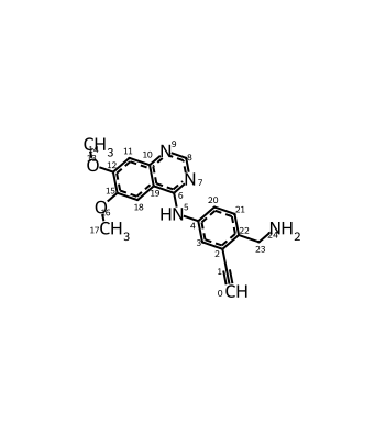 C#Cc1cc(Nc2ncnc3cc(OC)c(OC)cc23)ccc1CN